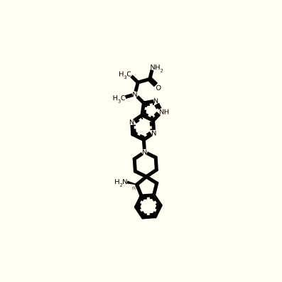 CC(C(N)=O)N(C)c1n[nH]c2nc(N3CCC4(CC3)Cc3ccccc3[C@H]4N)cnc12